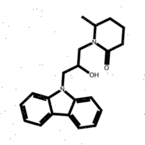 CC1CCCC(=O)N1CC(O)Cn1c2ccccc2c2ccccc21